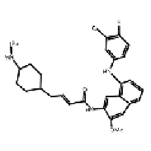 COc1cc2cccc(Nc3ccc(F)c(Cl)c3)c2cc1NC(=O)/C=C/CC1CCC(NC(C)(C)C)CC1